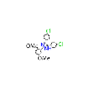 COc1ccc(OC)c(C2=N[C@H](c3ccc(Cl)cc3)[C@H](c3ccc(Cl)cc3)N2)c1